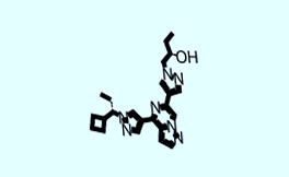 CC[C@H](O)Cn1cc(-c2cn3nccc3c(-c3cnn([C@@H](CC)C4CCC4)c3)n2)cn1